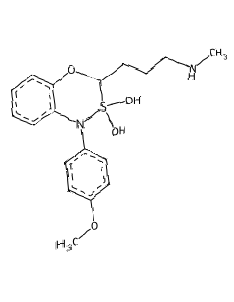 CNCCCC1Oc2ccccc2N(c2ccc(OC)cc2)S1(O)O